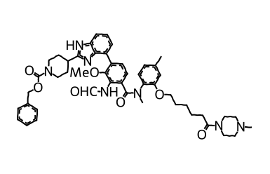 COc1c(-c2cccc3[nH]c(C4CCN(C(=O)OCc5ccccc5)CC4)nc23)ccc(C(=O)N(C)c2ccc(C)cc2OCCCCCC(=O)N2CCN(C)CC2)c1NC=O